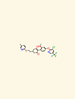 CCc1cc(Oc2ncc(C(F)(F)F)cc2Cl)ccc1C1=C(O)CC(CCSc2ccc(C)cn2)CC1=O